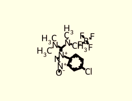 CN(C)C(N(C)C)=[N+]1N=[N+]([O-])c2cc(Cl)ccc21.F[B-](F)(F)F